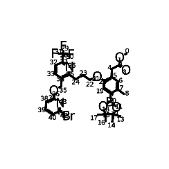 COC(=O)Cc1cc(C)c(B2OC(C)(C)C(C)(C)O2)cc1OCCCc1nc(C(F)(F)F)ccc1COc1cccc(Br)n1